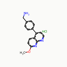 COc1ccc2c(-c3ccc(CN)cc3)ccnc2n1.Cl